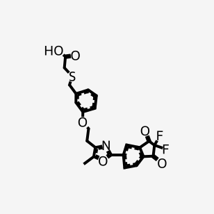 Cc1oc(-c2ccc3c(c2)C(=O)C(F)(F)C3=O)nc1CCOc1cccc(CSCC(=O)O)c1